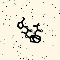 C=C(C)C(=O)OC12CC3CC(C1)CC(OC(C)C(=O)OC1CCCC1CC)(C3)C2